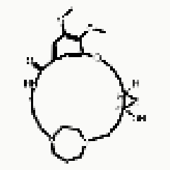 COc1cc2cc(c1OC)OCC[C@H]1S[C@]1(O)CCN1CCCN(CCCNC2=O)CC1